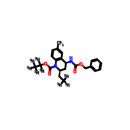 [2H]C([2H])([2H])C[C@@H]1C[C@H](NC(=O)OCc2ccccc2)c2cc(C(F)(F)F)ccc2N1C(=O)OC([2H])([2H])C([2H])([2H])[2H]